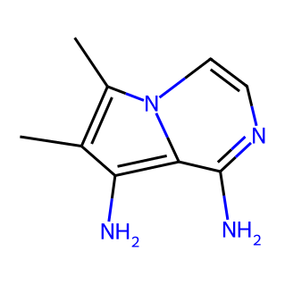 Cc1c(N)c2c(N)nccn2c1C